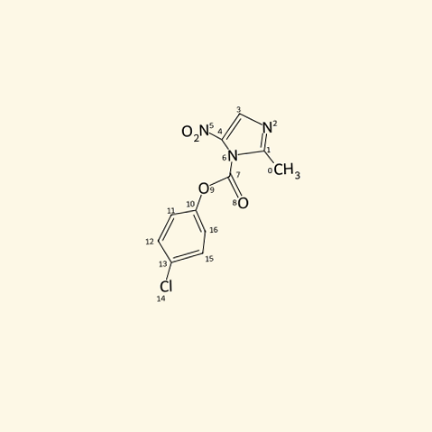 Cc1ncc([N+](=O)[O-])n1C(=O)Oc1ccc(Cl)cc1